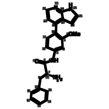 COc1cc(NC(=O)[C@H](N)Cc2ccccc2)ccc1-c1ccnc2[nH]ccc12